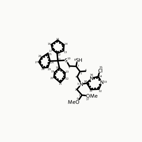 COC(CN(CC(C)C(S)CSC(c1ccccc1)(c1ccccc1)c1ccccc1)c1ccnc(Cl)n1)OC